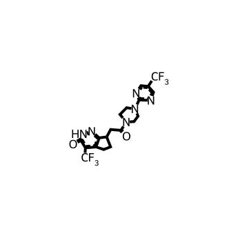 O=C(CC1CCc2c1n[nH]c(=O)c2C(F)(F)F)N1CCN(c2ncc(C(F)(F)F)cn2)CC1